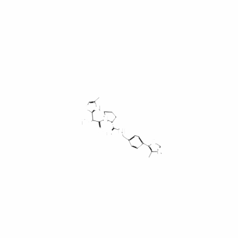 Cc1csc(C(C(=O)N2CCC[C@H]2C(=O)NCc2ccc(-c3scnc3C)cc2)C(C)C)n1